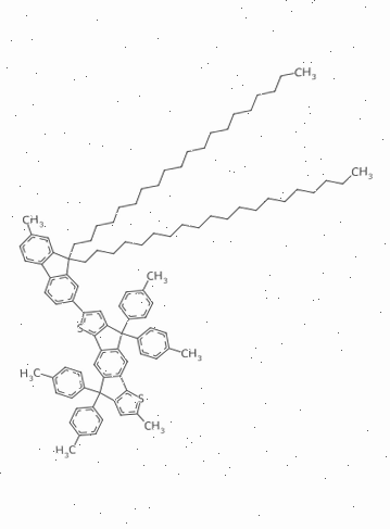 CCCCCCCCCCCCCCCCCCCCC1(CCCCCCCCCCCCCCCCCCCC)c2cc(C)ccc2-c2ccc(-c3cc4c(s3)-c3cc5c(cc3C4(c3ccc(C)cc3)c3ccc(C)cc3)-c3sc(C)cc3C5(c3ccc(C)cc3)c3ccc(C)cc3)cc21